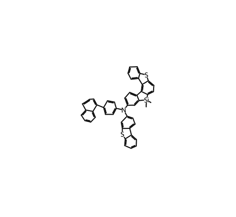 C[Si]1(C)c2cc(N(c3ccc(-c4cccc5ccccc45)cc3)c3ccc4c(c3)sc3ccccc34)ccc2-c2c1ccc1sc3ccccc3c21